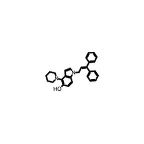 Oc1ccc2c(ccn2CC=C(c2ccccc2)c2ccccc2)c1N1CCCCC1